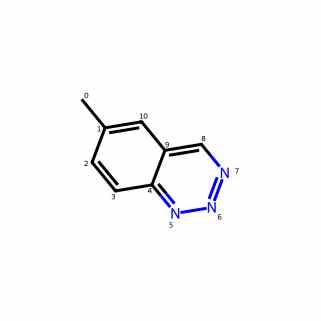 Cc1ccc2nnncc2c1